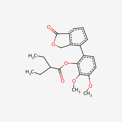 CCC(CC)C(=O)Oc1c(-c2cccc3c2COC3=O)ccc(OC)c1OC